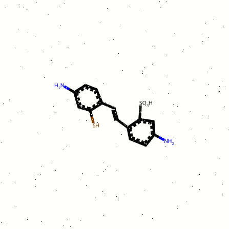 Nc1ccc(/C=C/c2ccc(N)cc2S(=O)(=O)O)c(S)c1